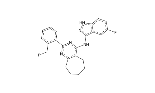 FCc1ccccc1-c1nc2c(c(Nc3n[nH]c4ccc(F)cc34)n1)CCCCC2